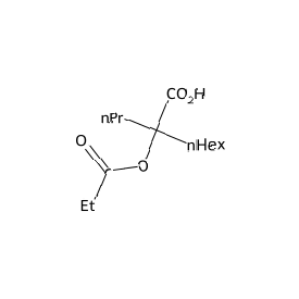 CCCCCCC(CCC)(OC(=O)CC)C(=O)O